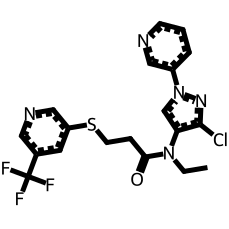 CCN(C(=O)CCSc1cncc(C(F)(F)F)c1)c1cn(-c2cccnc2)nc1Cl